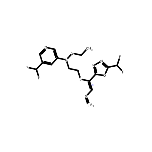 C=N/C=C(\SCCN(SCC)c1cncc(C(F)F)c1)c1nnc(C(F)F)o1